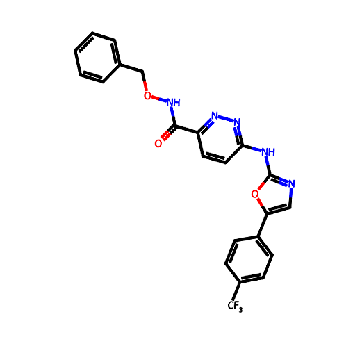 O=C(NOCc1ccccc1)c1ccc(Nc2ncc(-c3ccc(C(F)(F)F)cc3)o2)nn1